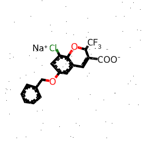 O=C([O-])C1=Cc2cc(OCc3ccccc3)cc(Cl)c2OC1C(F)(F)F.[Na+]